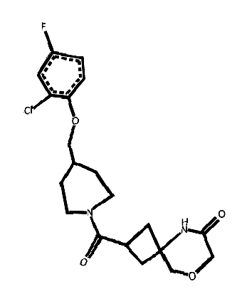 O=C1COCC2(CC(C(=O)N3CCC(COc4ccc(F)cc4Cl)CC3)C2)N1